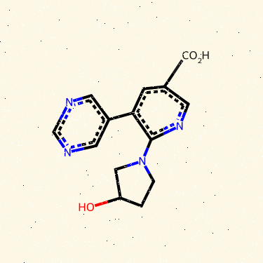 O=C(O)c1cnc(N2CCC(O)C2)c(-c2cncnc2)c1